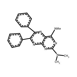 CNc1nc(N(C)C)nc2nc(-c3ccccc3)c(-c3ccccc3)nc12